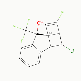 OC1(C(F)(F)F)c2ccccc2C2C(Cl)C3C(F)=C[C@]321